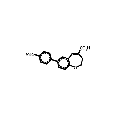 CSc1ccc(-c2ccc3c(c2)C=C(C(=O)O)CCO3)cc1